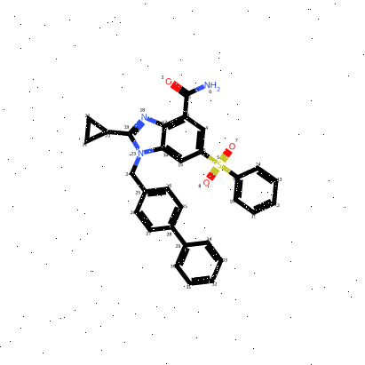 NC(=O)c1cc(S(=O)(=O)c2ccccc2)cc2c1nc(C1CC1)n2Cc1ccc(-c2ccccc2)cc1